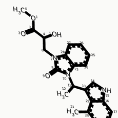 COC(=O)C(O)Cn1c(=O)n(C(C)c2c[nH]c3cccc(C)c23)c2ccccc21